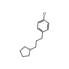 Clc1ccc(CCCN2CCCC2)cc1